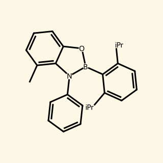 Cc1cccc2c1N(c1ccccc1)B(c1c(C(C)C)cccc1C(C)C)O2